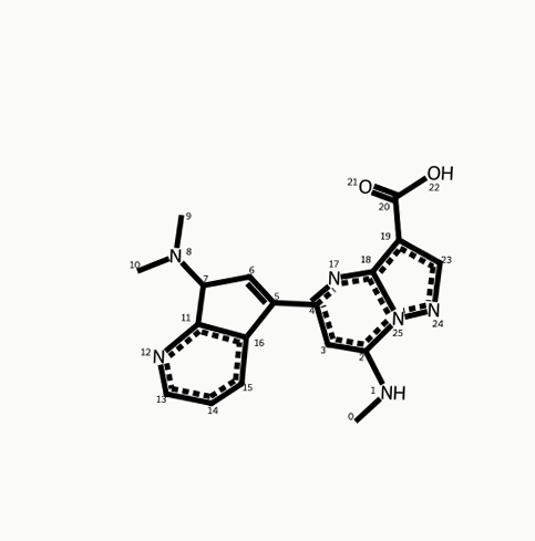 CNc1cc(C2=CC(N(C)C)c3ncccc32)nc2c(C(=O)O)cnn12